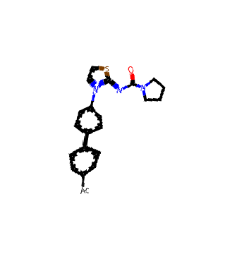 CC(=O)c1ccc(-c2ccc(-n3ccs/c3=N\C(=O)N3CCCC3)cc2)cc1